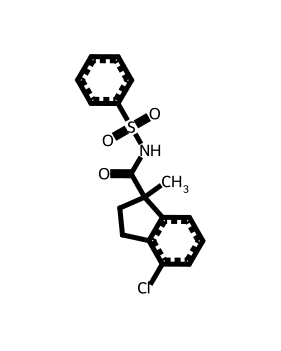 CC1(C(=O)NS(=O)(=O)c2ccccc2)CCc2c(Cl)cccc21